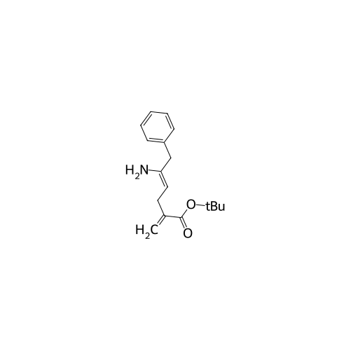 C=C(CC=C(N)Cc1ccccc1)C(=O)OC(C)(C)C